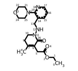 CCOC(=O)CC1=C(C)CCN(NCc2cccnc2N2CCOCC2)C1=O